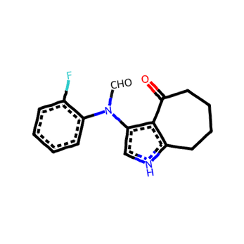 O=CN(c1ccccc1F)c1c[nH]c2c1C(=O)CCCC2